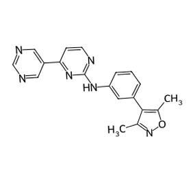 Cc1noc(C)c1-c1cccc(Nc2nccc(-c3cncnc3)n2)c1